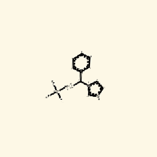 CC(c1ccccc1)n1ccnc1.F[B-](F)(F)F